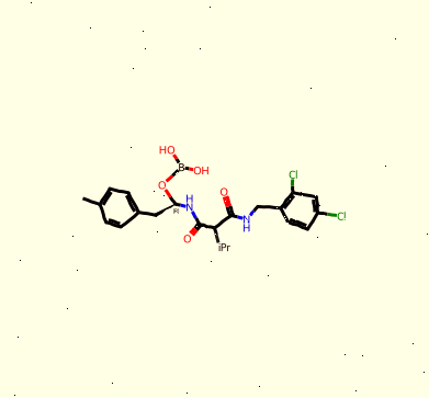 Cc1ccc(C[C@H](NC(=O)C(C(=O)NCc2ccc(Cl)cc2Cl)C(C)C)OB(O)O)cc1